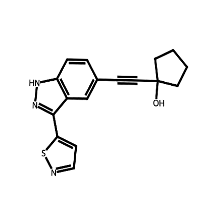 OC1(C#Cc2ccc3[nH]nc(-c4ccns4)c3c2)CCCC1